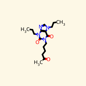 CCCn1cnc2c1c(=O)n(CCCCC(C)=O)c(=O)n2CCC